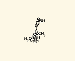 CCCc1c(OCCCCOc2ccc(C(=O)O)cc2)ccc2c1NNN2CC(C)(C)C